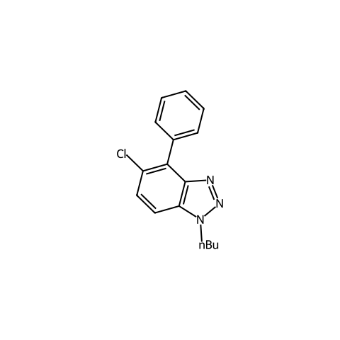 CCCCn1nnc2c(-c3ccccc3)c(Cl)ccc21